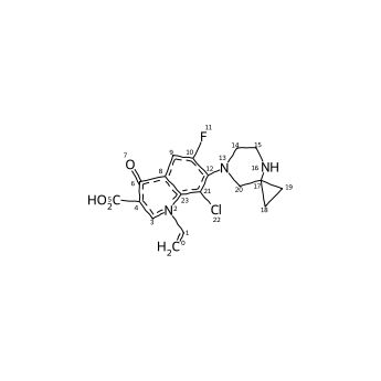 C=Cn1cc(C(=O)O)c(=O)c2cc(F)c(N3CCNC4(CC4)C3)c(Cl)c21